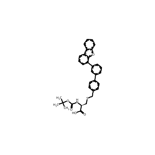 CC(C)(C)OC(=O)N[C@@H](CSCc1ccc(-c2cccc(-c3cccc4c3oc3ccccc34)c2)cc1)C(=O)O